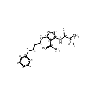 CN(C)C(=O)Nc1snc(OCCCOc2ccccc2)c1C(N)=O